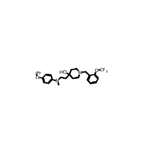 CC(C)Oc1ccc(N(C)CCC2(O)CCN(Cc3ccccc3OC(F)(F)F)CC2)cc1